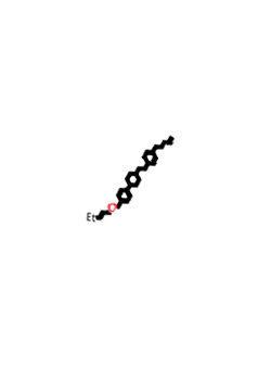 C=CCCCc1ccc(CCC2CCC(c3ccc(COCC=CCC)cc3)CC2)cc1